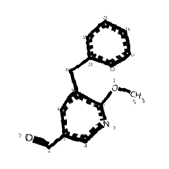 COc1ncc(C=O)cc1Cc1ccccc1